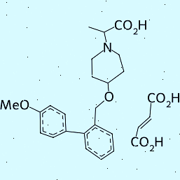 COc1ccc(-c2ccccc2COC2CCN(C(C)C(=O)O)CC2)cc1.O=C(O)C=CC(=O)O